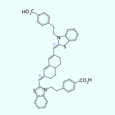 O=C(O)c1ccc(CCN2/C(=C/C3=CC4=C/C(=C/c5sc6ccccc6[n+]5CCc5ccc(C(=O)O)cc5)CCC4CC3)Sc3ccccc32)cc1